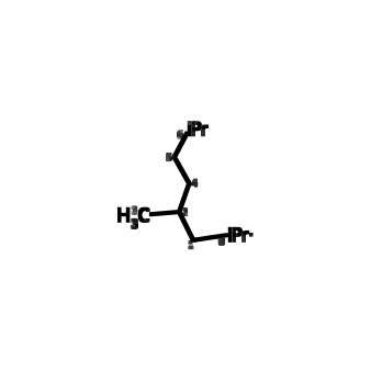 C[C](C)CC(C)CCC(C)C